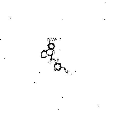 CNc1cccc(C2CCCCN2C(=O)C(=O)Nc2cncc(CN)c2)c1